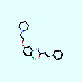 O=C(C=Cc1ccccc1)Nc1cc(OCCN2CCCCC2)ccc1Cl